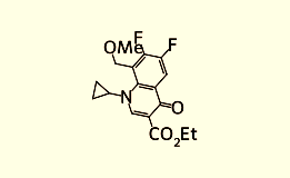 CCOC(=O)c1cn(C2CC2)c2c(COC)c(F)c(F)cc2c1=O